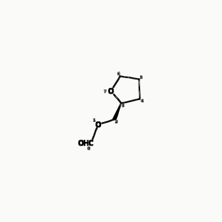 O=COC[C@@H]1CCCO1